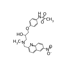 CN(Cc1ccc2cc([N+](=O)[O-])ccc2n1)CC(O)COc1ccc(NS(C)(=O)=O)cc1